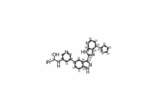 CC(C)C(O)Nc1cncc(-c2ccc3[nH]nc(-c4nc5c(-c6cccs6)ccnc5[nH]4)c3c2)c1